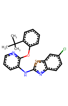 CC(C)(C)c1ccccc1Oc1ncccc1Nc1nc2ccc(Cl)cc2s1